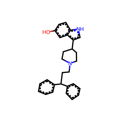 Oc1ccc2[nH]cc(C3CCN(CCC(c4ccccc4)c4ccccc4)CC3)c2c1